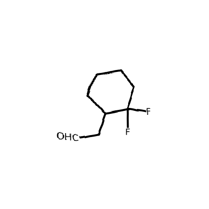 O=CCC1CCCCC1(F)F